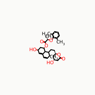 Cc1cccc(C)c1O[C@@H](C)C(=O)OC1CC(O)C=C2C=CC(C)C(CC[C@@H]3C[C@@H](O)CC(=O)O3)C21